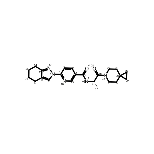 C[C@H](NC(=O)c1ccc(-n2cc3c(n2)CCCC3)nc1)C(=O)N1CCC2(CC1)CC2